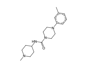 Cc1cccc(N2CCN(C(=O)NC3CCN(C)CC3)CC2)c1